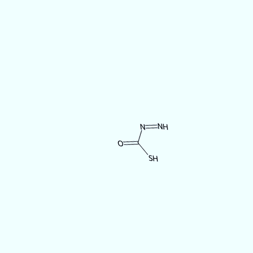 N=NC(=O)S